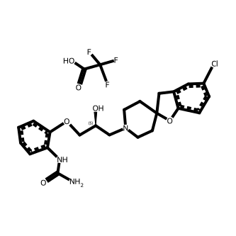 NC(=O)Nc1ccccc1OC[C@@H](O)CN1CCC2(CC1)Cc1cc(Cl)ccc1O2.O=C(O)C(F)(F)F